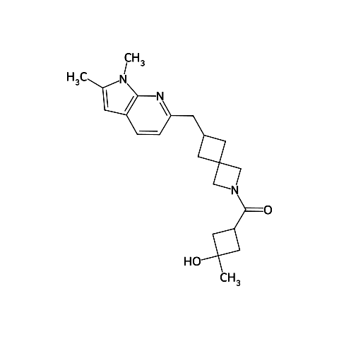 Cc1cc2ccc(CC3CC4(C3)CN(C(=O)C3CC(C)(O)C3)C4)nc2n1C